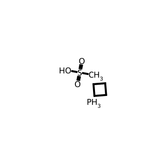 C1CCC1.CS(=O)(=O)O.P